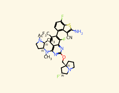 CC(=O)N1CC[C@H](N(C)c2nc(OC[C@@]34CCCN3C[C@H](F)C4)nc3c(F)c(-c4ccc(F)c5sc(N)c(C#N)c45)c(C(F)(F)F)cc23)[C@@H]1C